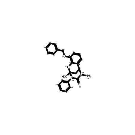 CC12CC(c3cccc(OCc4ccccc4)c3O1)N(N)C(=O)N2c1ccccc1